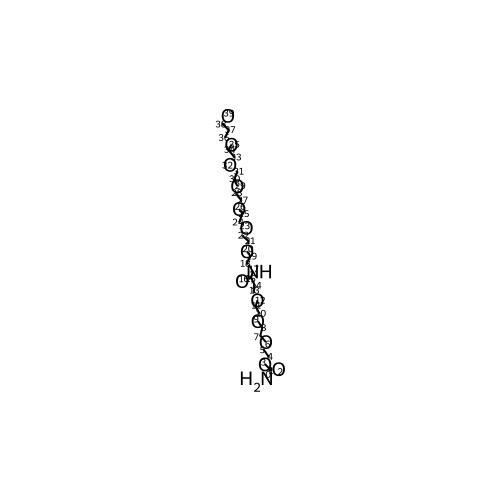 NC(=O)OCCOCCOCCOCCC(=O)NCCOCCOCCOCCOCCOCCOCCC=O